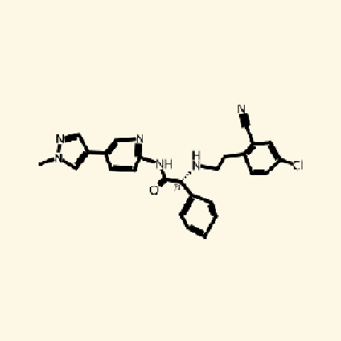 Cn1cc(-c2ccc(NC(=O)[C@H](NCCc3ccc(Cl)cc3C#N)c3ccccc3)nc2)cn1